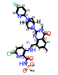 Cc1cc([C@@H](C)Nc2ccc(Cl)nc2C(=O)NS(C)(=O)=O)c2nc(N3C[C@@H]4C[C@H]3CN4c3ccc(F)cn3)n(C)c(=O)c2c1